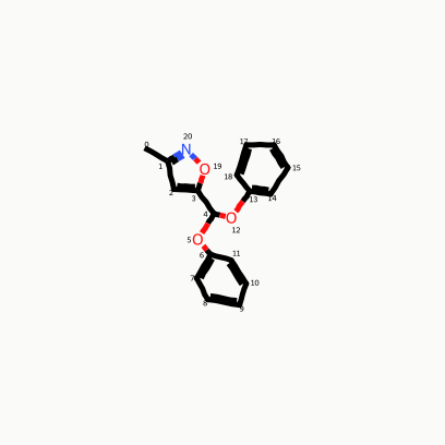 Cc1cc(C(Oc2ccccc2)Oc2ccccc2)on1